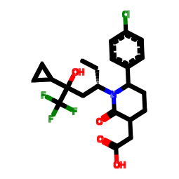 CC[C@@H](CC(O)(C1CC1)C(F)(F)F)N1C(=O)C(CC(=O)O)CCC1c1ccc(Cl)cc1